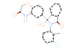 Cc1c(Cl)cccc1N1C(=O)c2ccccc2C1(O)c1ccc2c(c1)NC(=O)CO2